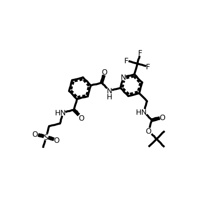 CC(C)(C)OC(=O)NCc1cc(NC(=O)c2cccc(C(=O)NCCS(C)(=O)=O)c2)nc(C(F)(F)F)c1